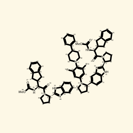 COC(=O)N[C@H](C(=O)N1CCC[C@H]1c1nc2cc([C@H]3CC[C@H](c4ccc5[nH]c([C@@H]6CCCN6C(=O)[C@@H](NC(=O)OC)C6Cc7ccccc7C6)nc5c4)N3c3cc(F)c(N4CCC(c5ccccc5)CC4)c(F)c3)ccc2[nH]1)C1Cc2ccccc2C1